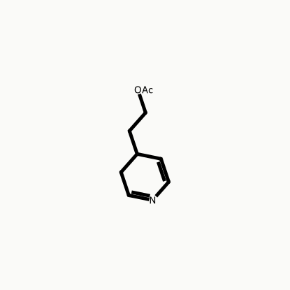 CC(=O)OCCC1C=CN=CC1